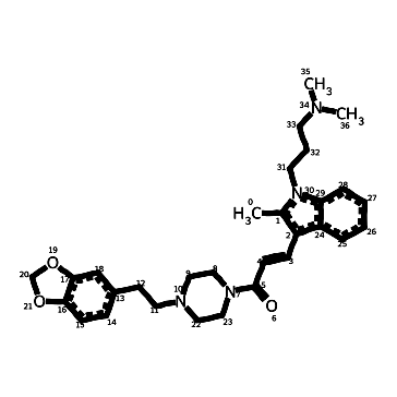 Cc1c(/C=C/C(=O)N2CCN(CCc3ccc4c(c3)OCO4)CC2)c2ccccc2n1CCCN(C)C